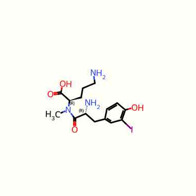 CN(C(=O)[C@H](N)Cc1ccc(O)c(I)c1)[C@H](CCCN)C(=O)O